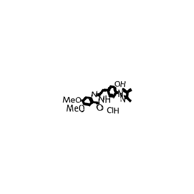 COc1cc2nc(Cc3ccc(-n4cc(C)c(C)n4)c(O)c3)[nH]c(=O)c2cc1OC.Cl